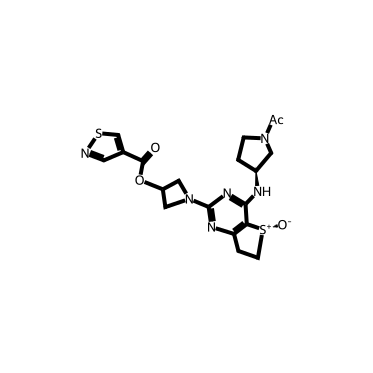 CC(=O)N1CC[C@H](Nc2nc(N3CC(OC(=O)c4cnsc4)C3)nc3c2[S@+]([O-])CC3)C1